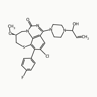 C=CC(O)N1CCN(c2nc(=O)n3c4c(c(-c5ccc(F)cc5)c(Cl)cc24)SC[C@@H](OC)C3)CC1